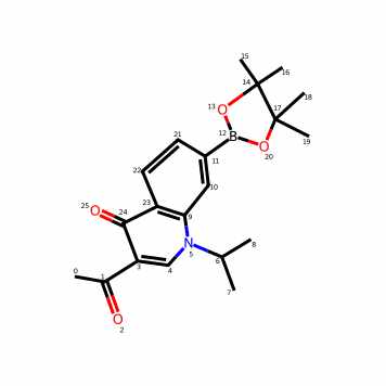 CC(=O)c1cn(C(C)C)c2cc(B3OC(C)(C)C(C)(C)O3)ccc2c1=O